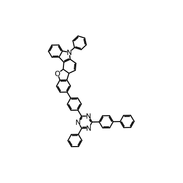 C1=CC2c3cc(-c4ccc(-c5nc(-c6ccccc6)nc(-c6ccc(-c7ccccc7)cc6)n5)cc4)ccc3OC2c2c1n(-c1ccccc1)c1ccccc21